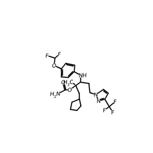 C[C@@](CC1CCCC1)(OC(N)=O)C(CCn1ccc(C(F)(F)F)n1)Nc1ccc(OC(F)F)cc1